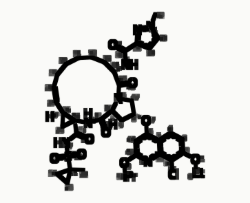 CCOc1ccc2c(O[C@@H]3C[C@H]4C(=O)N[C@]5(C(=O)NS(=O)(=O)C6(C)CC6)C[C@H]5C=CCCCCC[C@H](NC(=O)c5ccn(C)n5)C(=O)N4C3)cc(OC(C)C)nc2c1Cl